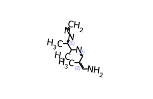 C=N/N=C(\C)C(C)/N=C\C(C)=C/N